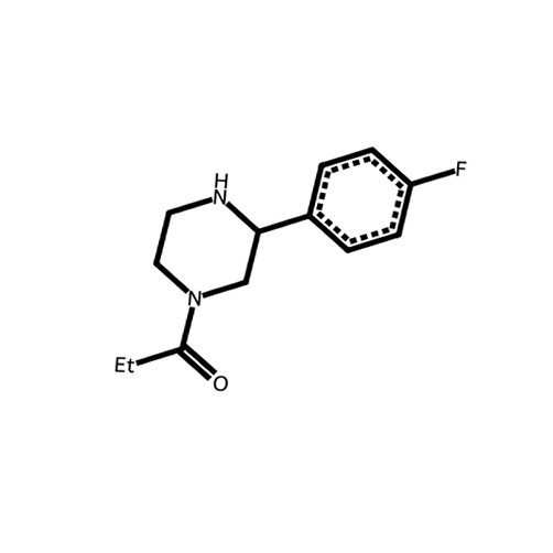 CCC(=O)N1CCNC(c2ccc(F)cc2)C1